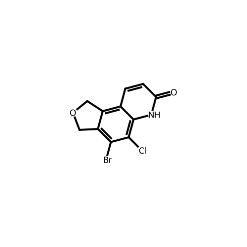 O=c1ccc2c3c(c(Br)c(Cl)c2[nH]1)COC3